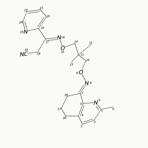 Cc1ccc2c(n1)/C(=N/OCC(C)(C)CO/N=C(\CC#N)c1ccccn1)CCC2